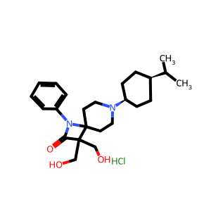 CC(C)[C@H]1CC[C@@H](N2CCC3(CC2)N(c2ccccc2)C(=O)C3(CO)CO)CC1.Cl